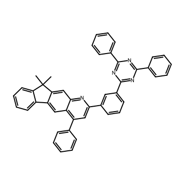 CC1(C)c2ccccc2-c2cc3c(-c4ccccc4)cc(-c4cccc(-c5nc(-c6ccccc6)nc(-c6ccccc6)n5)c4)nc3cc21